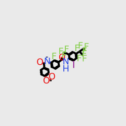 CN(C(=O)c1ccc2c(c1)OCO2)c1cccc(C(=O)Nc2c(I)cc(C(F)(C(F)(F)F)C(F)(F)F)cc2C(F)(F)F)c1F